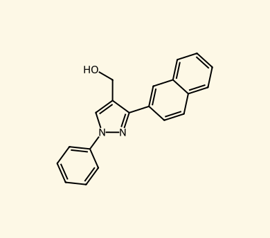 OCc1cn(-c2ccccc2)nc1-c1ccc2ccccc2c1